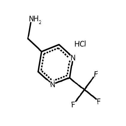 Cl.NCc1cnc(C(F)(F)F)nc1